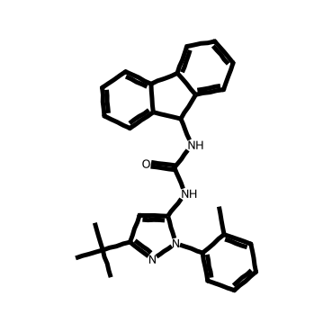 Cc1ccccc1-n1nc(C(C)(C)C)cc1NC(=O)NC1c2ccccc2-c2ccccc21